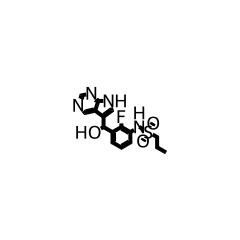 CCCS(=O)(=O)Nc1cccc(C(O)c2c[nH]c3ncncc23)c1F